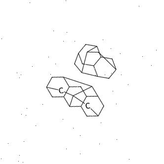 C1C2C3CC4CC2C2C5CC6CC(C15)C3C2(C4)C6.C1C2CC3C4CC5CC(C14)C(C2)C3C5